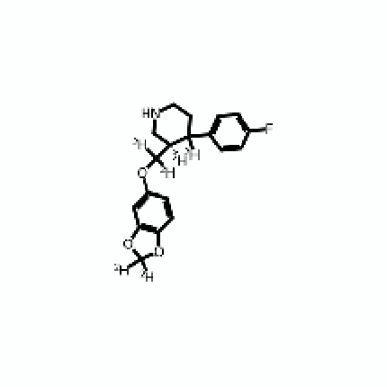 [2H]C1([2H])Oc2ccc(OC([2H])([2H])[C@@]3([2H])CNCCC3([2H])c3ccc(F)cc3)cc2O1